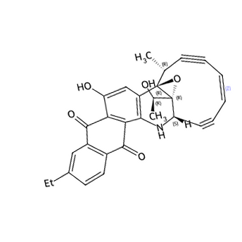 CCc1ccc2c(c1)C(=O)c1c(O)cc3c(c1C2=O)N[C@H]1C#C/C=C\C#C[C@@H](C)[C@@]32O[C@@]12[C@@H](C)O